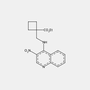 CCOC(=O)C1(CNc2c([N+](=O)[O-])cnc3ccccc23)CCC1